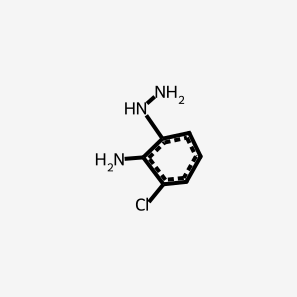 NNc1cccc(Cl)c1N